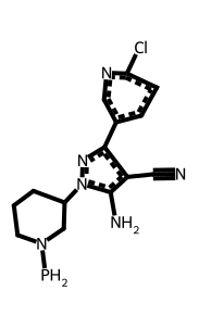 N#Cc1c(-c2ccc(Cl)nc2)nn(C2CCCN(P)C2)c1N